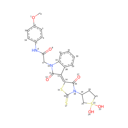 COc1ccc(NC(=O)CN2C(=O)/C(=C3\SC(=S)N(C4CCS(O)(O)C4)C3=O)c3ccccc32)cc1